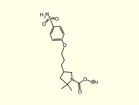 CC(C)(C)OC(=O)N1CC(CCCOc2ccc(S(N)(=O)=O)cc2)CC1(C)C